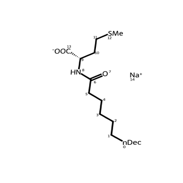 CCCCCCCCCCCCCCCC(=O)N[C@@H](CCSC)C(=O)[O-].[Na+]